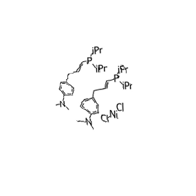 CC(C)P(C=CCc1ccc(N(C)C)cc1)C(C)C.CC(C)P(C=CCc1ccc(N(C)C)cc1)C(C)C.[Cl][Ni][Cl]